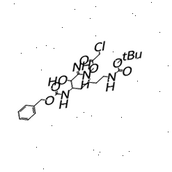 CC(C)(C)OC(=O)NCCCCC(NC(=O)OCc1ccccc1)C(O)C(=N)NOC(=O)CCl